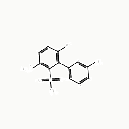 NS(=O)(=O)c1c(C(=O)O)ccc(F)c1-c1cccc(C(F)(F)F)c1